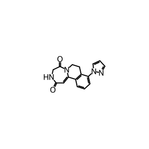 O=C1C=C2c3cccc(-n4cccn4)c3CCN2C(=O)CN1